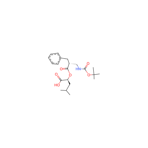 CC(C)C[C@H](OC(=O)[C@@H](CNC(=O)OC(C)(C)C)Cc1ccccc1)C(=O)O